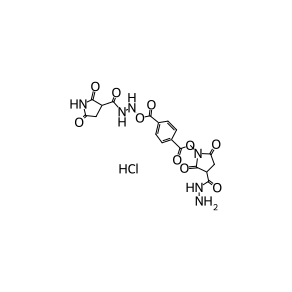 Cl.NNC(=O)C1CC(=O)N(OC(=O)c2ccc(C(=O)ONNC(=O)C3CC(=O)NC3=O)cc2)C1=O